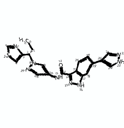 CC[C@@H](c1cscn1)n1cc(NC(=O)c2n[nH]c3cc(-c4cn[nH]c4)ccc23)cn1